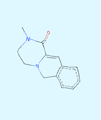 CN1CCN2Cc3ccccc3C=C2C1=O